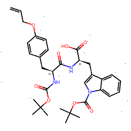 C=CCOc1ccc(C[C@H](NC(=O)OC(C)(C)C)C(=O)N[C@H](Cc2cn(C(=O)OC(C)(C)C)c3ccccc23)C(=O)O)cc1